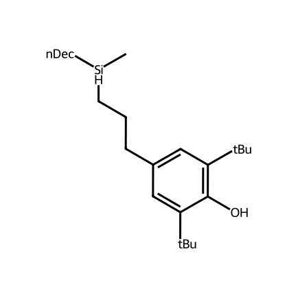 CCCCCCCCCC[SiH](C)CCCc1cc(C(C)(C)C)c(O)c(C(C)(C)C)c1